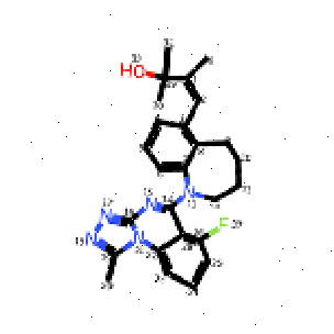 CC(=Cc1cccc2c1CCCCN2c1nc2nnc(C)n2c2cccc(F)c12)C(C)(C)O